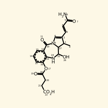 CC1C(C=CC(N)=O)=CN2C(=O)c3cccc(OC(=O)CCC(=O)O)c3NC(O)C12